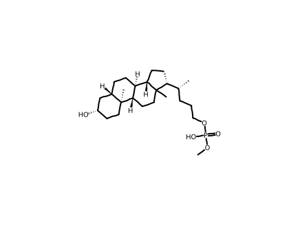 COP(=O)(O)OCCC[C@@H](C)[C@H]1CC[C@H]2[C@@H]3CC[C@H]4C[C@@H](O)CC[C@]4(C)[C@H]3CCC12C